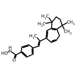 C/C(=C\c1ccc(C(=O)NO)cc1)C1=CC2=C(CC=C1)C(C)(C)CCC2(C)C